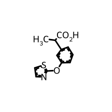 CC(C(=O)O)c1cccc(Oc2nccs2)c1